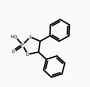 O=P1(O)OC(c2ccccc2)C(c2ccccc2)S1